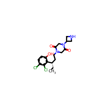 CC[C@@H](CCN1CC(=O)N(C2CNC2)CC1=O)c1c(O)ccc(Cl)c1Cl